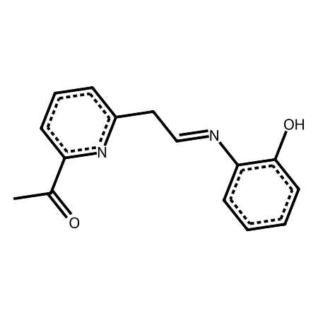 CC(=O)c1cccc(CC=Nc2ccccc2O)n1